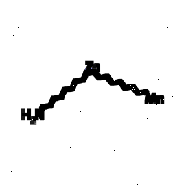 NCCCCCCCC/C=C\CCCCCCC[CH2][Mn].[Zn]